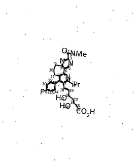 CNC(=O)c1ncc2c(n1)CCCc1c-2nc(C(C)C)c(/C=C/[C@@H](O)C[C@@H](O)CC(=O)O)c1-c1ccc(F)cc1